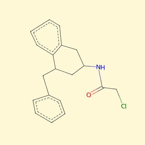 O=C(CCl)NC1Cc2ccccc2C(Cc2ccccc2)C1